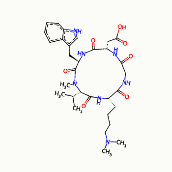 CC(C)[C@H]1C(=O)N[C@@H](CCCCN(C)C)C(=O)NCC(=O)N[C@@H](CC(=O)O)C(=O)N[C@H](Cc2c[nH]c3ccccc23)C(=O)N1C